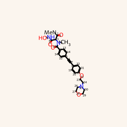 CNC(=O)C(C(=O)NO)N(C)C(=O)c1ccc(C#Cc2ccc(OCCN3CCOCC3)cc2)cc1